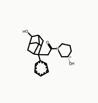 O=C(CC1(c2ccccc2)C2CC3CC1CC(C2)C3O)N1CCC[C@H](O)C1